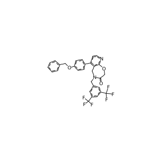 O=C1COc2nccc(-c3ccc(OCc4ccccc4)cc3)c2CN1Cc1cc(C(F)(F)F)cc(C(F)(F)F)c1